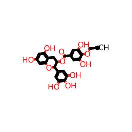 C#CCOc1c(O)cc(C(=O)OC2Cc3c(O)cc(O)cc3OC2c2cc(O)c(O)c(O)c2)cc1O